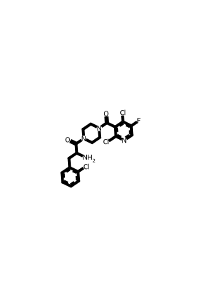 NC(Cc1ccccc1Cl)C(=O)N1CCN(C(=O)c2c(Cl)ncc(F)c2Cl)CC1